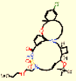 COCCOCCN1CC/C=C/C(O[Si](C)(C)C(C)(C)C)[C@@H]2CC[C@H]2CN2CCCCC3C=C(Cl)C=CC3(C)COc3ccc(cc32)C(=O)NS1(=O)=O